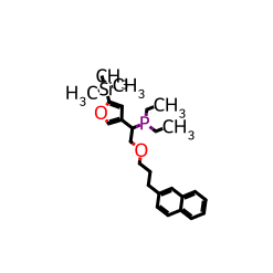 CCP(CC)C(COCCCc1ccc2ccccc2c1)c1coc([Si](C)(C)C)c1